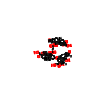 C[C@]12CCC(=O)C=C1CC[C@@H]1[C@@H]2[C@@H](O)C[C@@]2(C)[C@H]1CC[C@]2(O)C(=O)CO.C[C@]12C[C@H](O)[C@H]3[C@@H](CCC4=CC(=O)CC(OC(=O)CCC(=O)OC5CC(=O)C=C6CC[C@@H]7[C@H]([C@@H](O)C[C@@]8(C)[C@H]7CC[C@]8(O)C(=O)CO)[C@]65C)[C@@]43C)[C@@H]1CC[C@]2(O)C(=O)CO